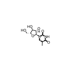 Cc1cn([C@H]2O[C@H](CO)[C@@H](O)[C@@H]2O)c(=O)[nH]c1=O